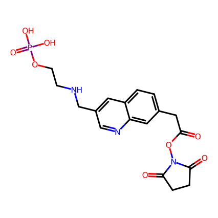 O=C(Cc1ccc2cc(CNCCOP(=O)(O)O)cnc2c1)ON1C(=O)CCC1=O